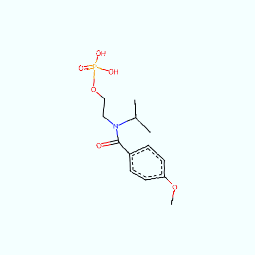 COc1ccc(C(=O)N(CCOP(=O)(O)O)C(C)C)cc1